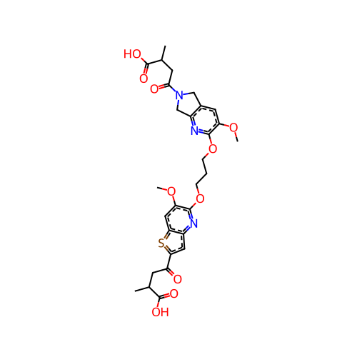 COc1cc2c(nc1OCCCOc1nc3cc(C(=O)CC(C)C(=O)O)sc3cc1OC)CN(C(=O)CC(C)C(=O)O)C2